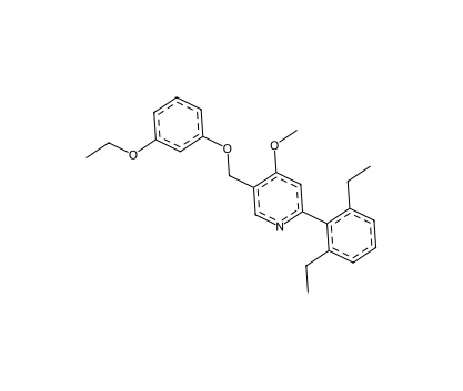 CCOc1cccc(OCc2cnc(-c3c(CC)cccc3CC)cc2OC)c1